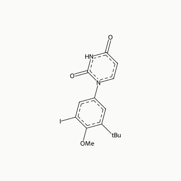 COc1c(I)cc(-n2ccc(=O)[nH]c2=O)cc1C(C)(C)C